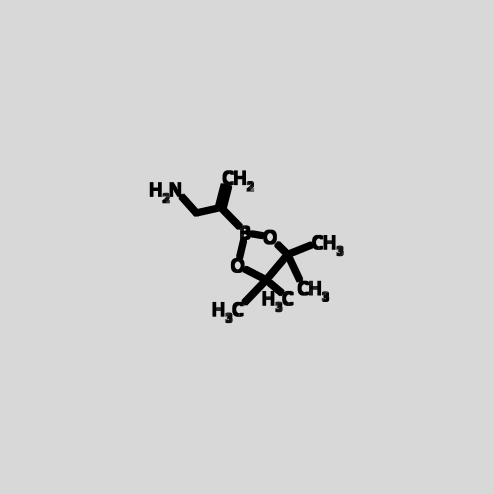 C=C(CN)B1OC(C)(C)C(C)(C)O1